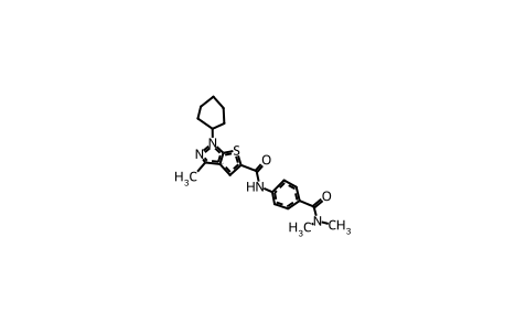 Cc1nn(C2CCCCC2)c2sc(C(=O)Nc3ccc(C(=O)N(C)C)cc3)cc12